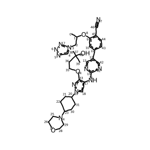 CC(Cn1cnnn1)Oc1cc(-c2cnc(Nc3cn(C4CCC(N5CCOCC5)CC4)nc3OCCC(C)(C)O)nc2)ccc1C#N